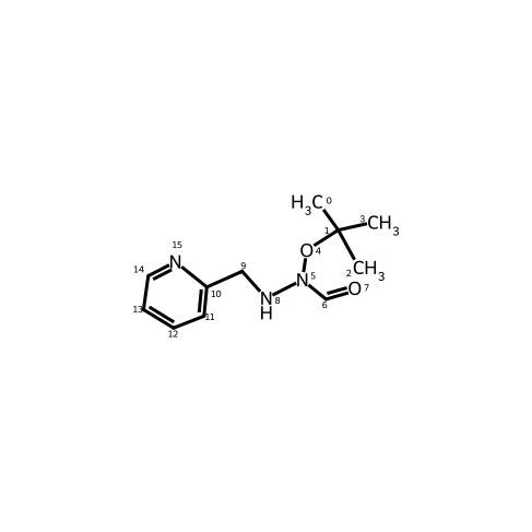 CC(C)(C)ON(C=O)NCc1ccccn1